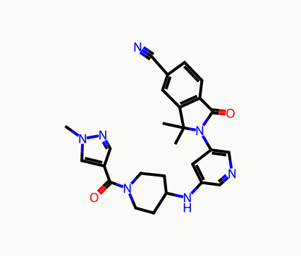 Cn1cc(C(=O)N2CCC(Nc3cncc(N4C(=O)c5ccc(C#N)cc5C4(C)C)c3)CC2)cn1